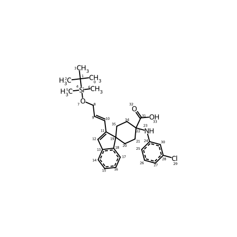 CC(C)(C)[Si](C)(C)OC/C=C/C1=Cc2ccccc2C12CCC(Nc1cccc(Cl)c1)(C(=O)O)CC2